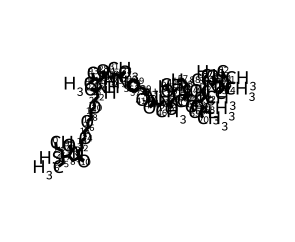 CCCC(S)(CC)C1CC(=O)N(CCOCCOCCOCCC(=O)N[C@H](C(=O)N[C@@H](C)C(=O)Nc2ccc(C[S+]([O-])NC(=O)[C@H](C)NC(=O)[C@H](C)[C@@H](OC)[C@@H]3CCCN3C(=O)C[C@@H](OC)[C@H](C(C)CC)N(C)C(=O)[C@@H](NC(=O)[C@H](C(C)C)N(C)C)C(C)C)cc2)C(C)C)C1=O